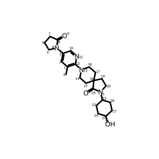 Cc1cc(N2CCCC2=O)cnc1N1CCC2(CC1)CCN(C1CCC(O)CC1)C2=O